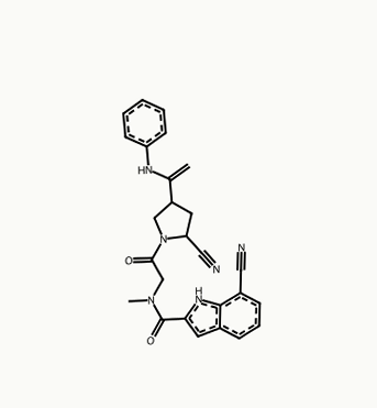 C=C(Nc1ccccc1)C1CC(C#N)N(C(=O)CN(C)C(=O)c2cc3cccc(C#N)c3[nH]2)C1